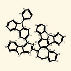 c1ccc(-n2c3ccccc3c3cc(-c4nc(C5CCc6ccccc6-c6c5cc5c7ccccc7n7c8ccccc8c6c57)nc5oc6ccccc6c45)ccc32)cc1